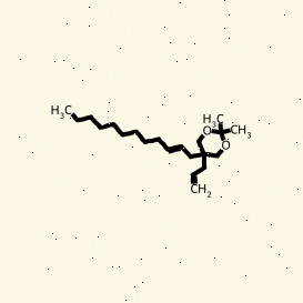 C=CCC1(C/C=C/CCCCCCCCC)COC(C)(C)OC1